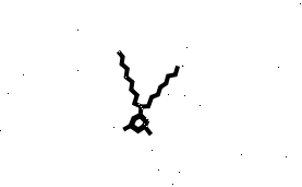 [CH2]CCCCCCCC(CCCCCCCCC)c1cc(C)cc(C)c1